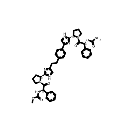 COC(=O)N[C@@H](C(=O)N1CCC[C@H]1c1nc(CCc2ccc(-c3c[nH]c([C@@H]4CCCN4C(=O)[C@H](OC(N)=O)c4ccccc4)n3)cc2)c[nH]1)c1ccccc1